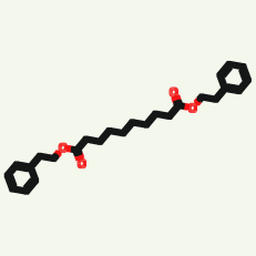 O=C(CCCCCCCCC(=O)OCCc1ccccc1)OCCc1ccccc1